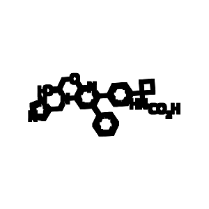 O=C(O)NC1(c2ccc(-c3nc4c(cc3-c3ccccc3)N(Cc3cnc[nH]3)C(=O)CO4)cc2)CCC1